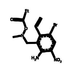 C=Cc1c(Br)cc([N+](=O)[O-])c(N)c1CN(C)OC(=O)CC